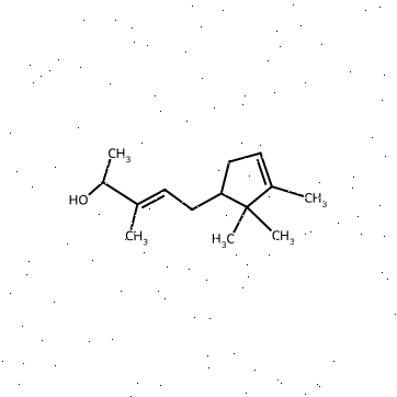 CC1=CCC(C/C=C(\C)C(C)O)C1(C)C